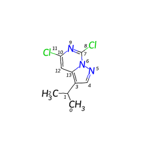 CC(C)c1cnn2c(Cl)nc(Cl)cc12